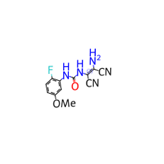 COc1ccc(F)c(NC(=O)N/C(C#N)=C(\N)C#N)c1